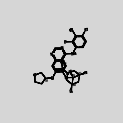 O=C(N1C[C@H]2C[C@@H](C1)[C@H]2Oc1cc2c(Nc3ccc(Cl)c(Cl)c3F)ncnc2cc1O[C@H]1CCOC1)C(F)(F)F